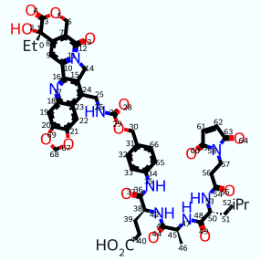 CC[C@@]1(O)C(=O)OCc2c1cc1n(c2=O)Cc2c-1nc1cc3c(cc1c2CNC(=O)OCc1ccc(NC(=O)[C@H](CCC(=O)O)NC(=O)[C@H](C)NC(=O)[C@@H](CC(C)C)NC(=O)CCN2C(=O)C=CC2=O)cc1)OCO3